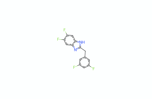 Fc1cc(F)cc(Cc2nc3cc(F)c(F)cc3[nH]2)c1